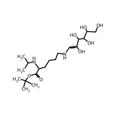 CC(C)NC(CCCCN/C=C(\O)C(O)C(O)C(O)CO)C(=O)OC(C)(C)C